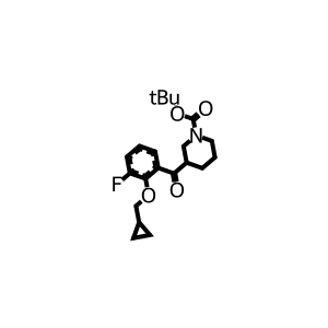 CC(C)(C)OC(=O)N1CCCC(C(=O)c2cccc(F)c2OCC2CC2)C1